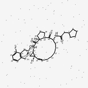 O=C(CC1CCCC1)N[C@H]1CCCCC/C=C\[C@@H]2C[C@@]2(P(=O)(O)Cc2c(F)cccc2F)NC(=O)[C@@H]2CCCN2C1=O